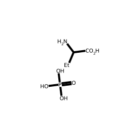 CCC(N)C(=O)O.O=P(O)(O)O